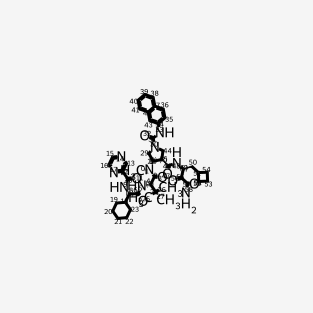 CN(C(=O)[C@@H](NC(=O)[C@@H](NC(=O)c1cnccn1)C1CCCCC1)C(C)(C)C)[C@H]1CN(C(=O)Nc2ccc3ccccc3c2)C[C@H]1C(=O)N[C@@H](CC1CCC1)C(=O)C(N)=O